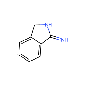 N=C1NCc2c[c]ccc21